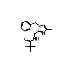 Cc1cn(Cc2ccccc2)c(CNC(=O)C(C)(C)C)n1